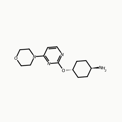 N[C@H]1CC[C@H](Oc2nccc(N3CCOCC3)n2)CC1